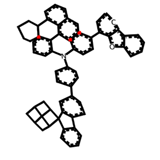 c1ccc(N(c2ccc(-c3ccc4c(c3)C3(c5ccccc5-4)C4CC5CC6CC3C564)cc2)c2ccc(-c3cccc4c3oc3ccccc34)cc2)c(-c2cccc3cccc(C4CCCCC4)c23)c1